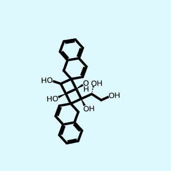 OC[C@@H](O)[C@]1(O)C2(C=Cc3ccccc3C2)[C@]2(O)C(O)C3(C=Cc4ccccc4C3)[C@@]21O